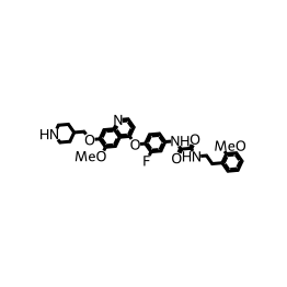 COc1ccccc1CCNC(=O)C(=O)Nc1ccc(Oc2ccnc3cc(OCC4CCNCC4)c(OC)cc23)c(F)c1